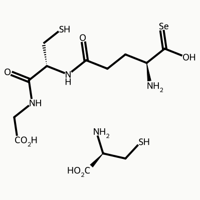 N[C@@H](CCC(=O)N[C@@H](CS)C(=O)NCC(=O)O)C(O)=[Se].N[C@@H](CS)C(=O)O